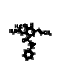 CC=C[C@H]1CN(C(=O)[C@@H]2C[C@H]2c2ccccc2)[C@@H](CC(C)C)C(=O)N1